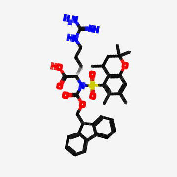 Cc1cc2c(c(S(=O)(=O)N(C(=O)OCC3c4ccccc4-c4ccccc43)[C@@H](CCCNC(=N)N)C(=O)O)c1C)C(C)CC(C)(C)O2